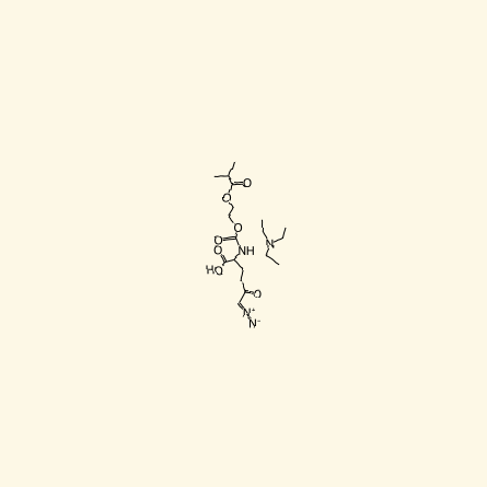 CC(C)C(=O)OCCOC(=O)NC(CCC(=O)C=[N+]=[N-])C(=O)O.CCN(CC)CC